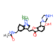 CC(=O)NCc1ccc2[nH]cc(/C=C3\Oc4c(ccc(O)c4CN4CCNCC4)C3=O)c2c1.Cl.Cl